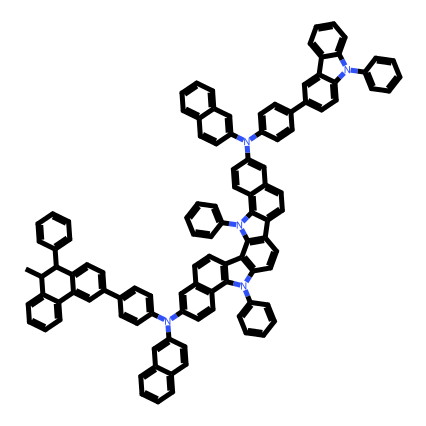 CC1c2ccccc2-c2cc(-c3ccc(N(c4ccc5ccccc5c4)c4ccc5c(ccc6c7c(ccc8c9ccc%10cc(N(c%11ccc(-c%12ccc%13c(c%12)c%12ccccc%12n%13-c%12ccccc%12)cc%11)c%11ccc%12ccccc%12c%11)ccc%10c9n(-c9ccccc9)c87)n(-c7ccccc7)c56)c4)cc3)ccc2C1c1ccccc1